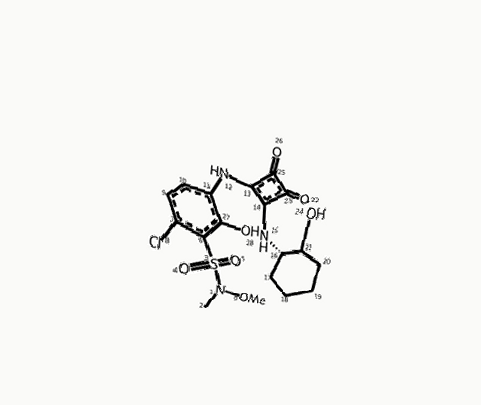 CON(C)S(=O)(=O)c1c(Cl)ccc(Nc2c(N[C@H]3CCCCC3O)c(=O)c2=O)c1O